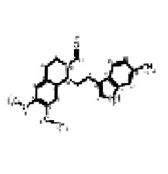 COc1cc2c(cc1OC)[C@H](CCc1c[nH]c3cc(C)ccc13)N(C=O)CC2